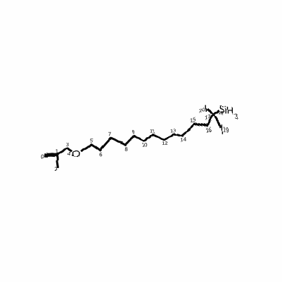 C=C(C)COCCCCCCCCCCCCC([SiH3])(I)I